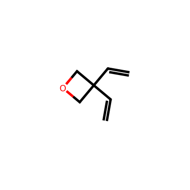 C=CC1(C=C)COC1